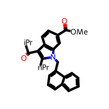 CCCc1c(C(=O)C(C)C)c2ccc(C(=O)OC)cc2n1Cc1cccc2ccccc12